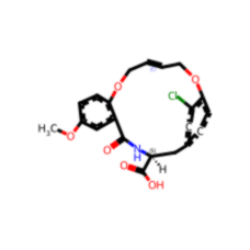 COc1ccc2c(c1)C(=O)N[C@H](C(=O)O)Cc1ccc(c(Cl)c1)OC/C=C/CO2